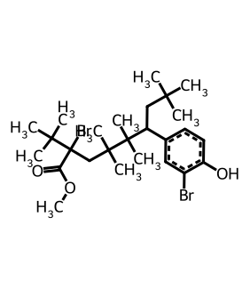 COC(=O)C(Br)(CC(C)(C)C(C)(C)C(CC(C)(C)C)c1ccc(O)c(Br)c1)C(C)(C)C